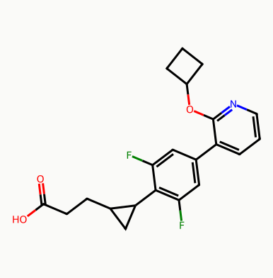 O=C(O)CCC1CC1c1c(F)cc(-c2cccnc2OC2CCC2)cc1F